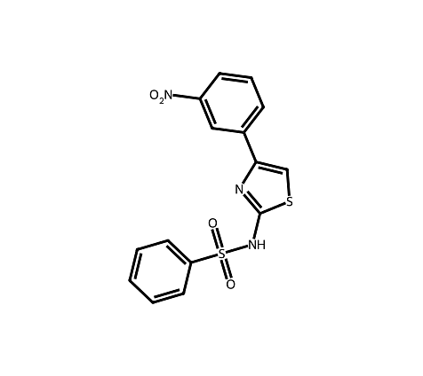 O=[N+]([O-])c1cccc(-c2csc(NS(=O)(=O)c3ccccc3)n2)c1